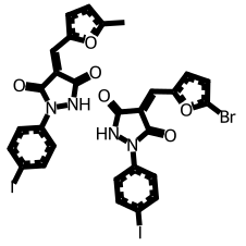 Cc1ccc(C=C2C(=O)NN(c3ccc(I)cc3)C2=O)o1.O=C1NN(c2ccc(I)cc2)C(=O)C1=Cc1ccc(Br)o1